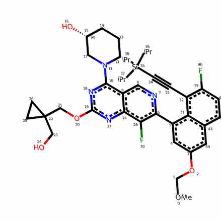 COCOc1cc(-c2ncc3c(N4CCC[C@@H](O)C4)nc(OCC4(CO)CC4)nc3c2F)c2c(C#C[Si](C(C)C)(C(C)C)C(C)C)c(F)ccc2c1